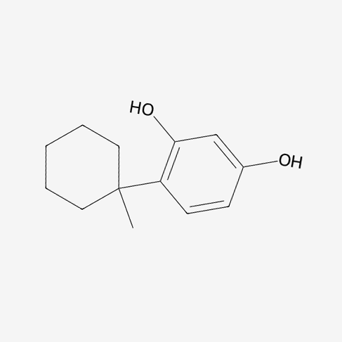 CC1(c2ccc(O)cc2O)CCCCC1